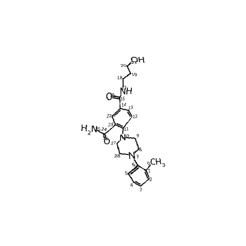 Cc1ccccc1N1CCN(c2ccc(C(=O)NCCCO)cc2C(N)=O)CC1